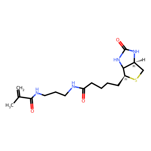 C=C(C)C(=O)NCCCNC(=O)CCCC[C@@H]1SC[C@@H]2NC(=O)NC21